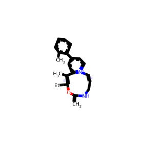 C=C1NC/C=C\[n+]2ccc(-c3ccccc3C)cc2/C(C)=C(/CC)O1